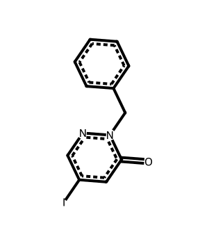 O=c1cc(I)cnn1Cc1ccccc1